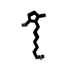 O=C(O)CCCC=CCC1C(=O)C=CC1O